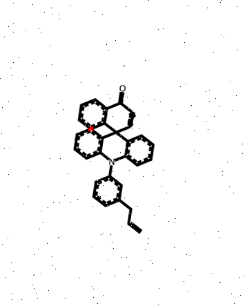 C=CCc1cccc(N2c3ccccc3C3(c4ccccc4C(=O)c4ccccc43)c3ccccc32)c1